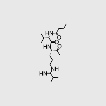 CCCC(=O)N[C@H](C(=O)N[C@@H](CCCNC(=N)C(C)C)C(C)=O)C(C)C